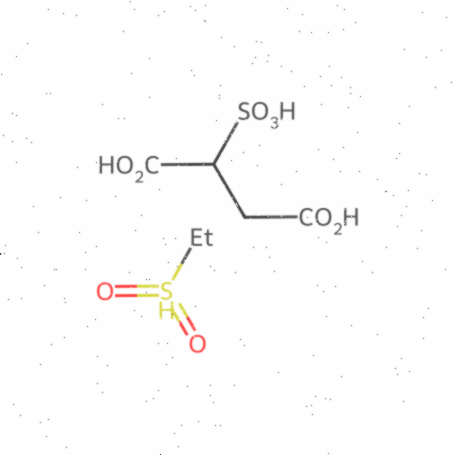 CC[SH](=O)=O.O=C(O)CC(C(=O)O)S(=O)(=O)O